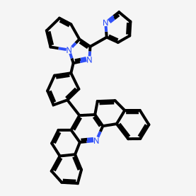 c1ccc(-c2nc(-c3cccc(-c4c5ccc6ccccc6c5nc5c4ccc4ccccc45)c3)n3ccccc23)nc1